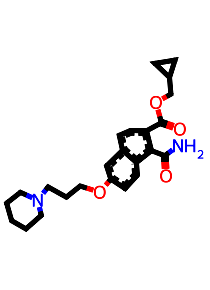 NC(=O)c1c(C(=O)OCC2CC2)ccc2cc(OCCCN3CCCCC3)ccc12